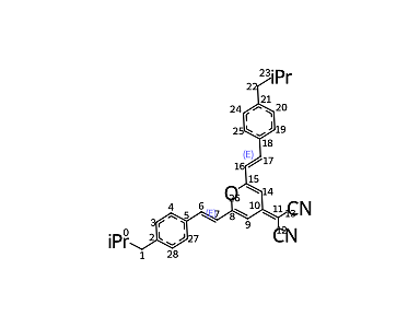 CC(C)Cc1ccc(/C=C/C2=CC(=C(C#N)C#N)C=C(/C=C/c3ccc(CC(C)C)cc3)O2)cc1